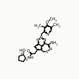 COc1c(C)cnc(Cn2nc3cc(CC(=O)N[C@@H]4CCC[C@H]4O)c4c-3c(n2)C(N)=NSC4)c1C